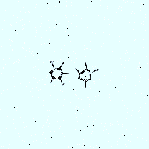 Cc1c[n+]([O-])c(C)c(C)c1Br.Cc1cc(C)c(C)[n+]([O-])c1